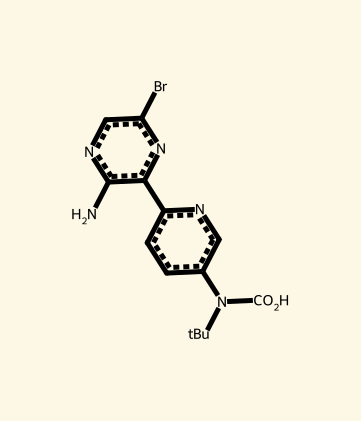 CC(C)(C)N(C(=O)O)c1ccc(-c2nc(Br)cnc2N)nc1